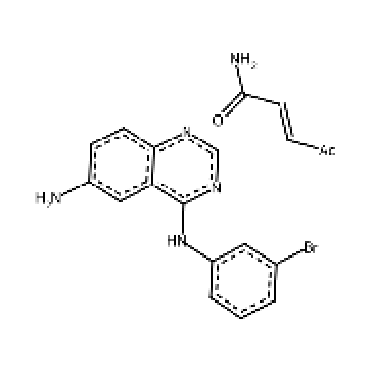 CC(=O)C=CC(N)=O.Nc1ccc2ncnc(Nc3cccc(Br)c3)c2c1